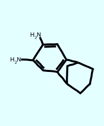 Nc1cc2c(cc1N)C1CCCC2C1